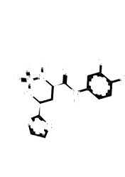 CCN1[C@@H](C(=O)Nc2ccc(F)c(Cl)c2)C[C@@H](c2nccs2)NS1(=O)=O